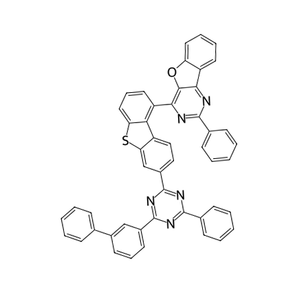 c1ccc(-c2cccc(-c3nc(-c4ccccc4)nc(-c4ccc5c(c4)sc4cccc(-c6nc(-c7ccccc7)nc7c6oc6ccccc67)c45)n3)c2)cc1